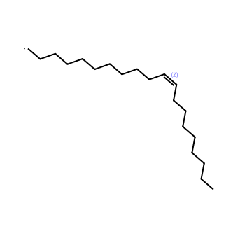 [CH2]CCCCCCCCC/C=C\CCCCCCCC